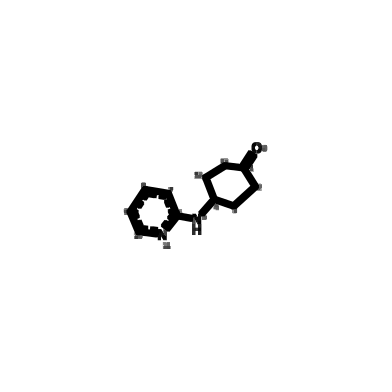 O=C1CCC(Nc2ccccn2)CC1